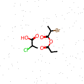 CC(Cl)C(=O)O.CCC(=O)OC(=O)C(C)Br